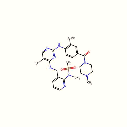 COc1cc(C(=O)N2CCN(C)CC2)ccc1Nc1ncc(C(F)(F)F)c(NCc2cccnc2N(C)S(C)(=O)=O)n1